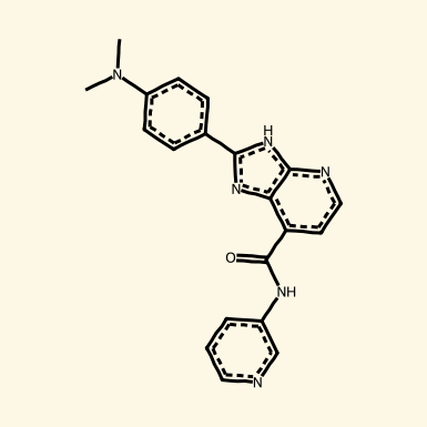 CN(C)c1ccc(-c2nc3c(C(=O)Nc4cccnc4)ccnc3[nH]2)cc1